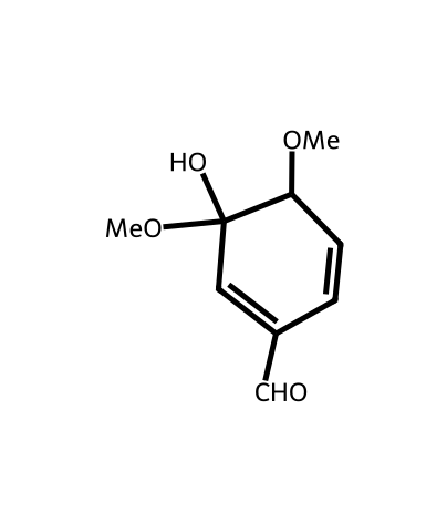 COC1C=CC(C=O)=CC1(O)OC